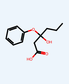 CCCC(O)(CC(=O)O)Oc1ccccc1